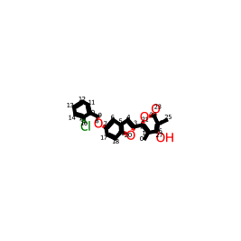 Cc1c(-c2cc3cc(OCc4ccccc4Cl)ccc3o2)oc(=O)c(C)c1O